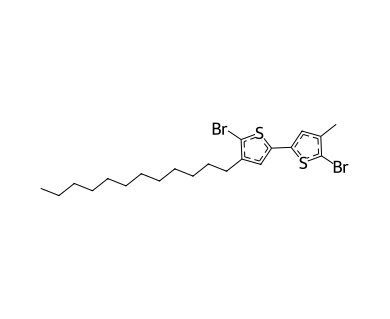 CCCCCCCCCCCCc1cc(-c2cc(C)c(Br)s2)sc1Br